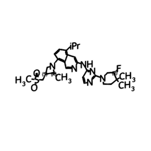 CC(C)c1ccc(N2C[C@H](CS(C)(=O)=O)[C@H]2C)c2cnc(Nc3ccnc(N4CCC(C)(C)[C@@H](F)C4)n3)cc12